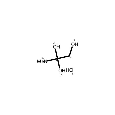 CNC(O)(O)CO.Cl